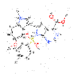 COC(=O)c1ncnc2c1cc(-c1cn(C)c3ccc(OC)cc13)n2S(=O)(=O)c1ccc(C)cc1